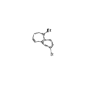 CCc1ccc2c(c1)C=CC=CN2CC